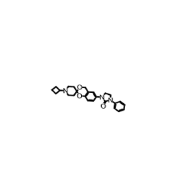 O=C1N(c2ccccc2)CCN1c1ccc2c(c1)COC1(CCN(C3CCC3)CC1)O2